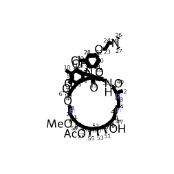 CO[C@H]1/C=C/O[C@@]2(C)Oc3c(C)c(O)c4c(=O)c(c5oc6cc(OCCN(C)C)cc(Cl)c6nc-5c4c3C2=O)NC(=O)/C(C)=C\C=C\[C@H](C)[C@H](O)[C@@H](C)[C@@H](C)[C@@H](C)[C@H](OC(C)=O)[C@@H]1C